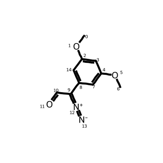 COc1cc(OC)cc(C(C=O)=[N+]=[N-])c1